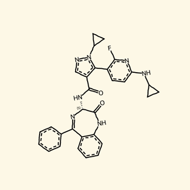 O=C(N[C@H]1N=C(c2ccccc2)c2ccccc2NC1=O)c1cnn(C2CC2)c1-c1ccc(NC2CC2)nc1F